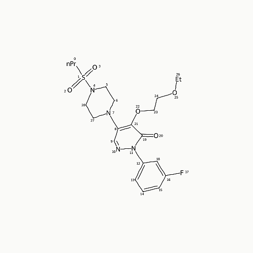 CCCS(=O)(=O)N1CCN(c2cnn(-c3cccc(F)c3)c(=O)c2OCCOCC)CC1